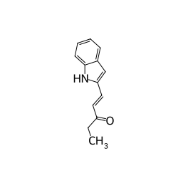 CCC(=O)/C=C/c1cc2ccccc2[nH]1